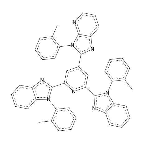 Cc1ccccc1-n1c(-c2cc(-c3nc4cccnc4n3-c3ccccc3C)cc(-c3nc4ccccc4n3-c3ccccc3C)n2)nc2ccccc21